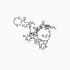 COc1cc2cc(c1Cl)N(C)C(=O)C[C@@H](OC(=O)[C@@H](C)N(C)C(=O)CCSSC(C)(C)CCC(=O)C1CCCCCCCCCC1)[C@@]1(C)O[C@@H]1[C@@H](C)[C@H]1C[C@](O)(NC(=O)O1)[C@@H](OC)/C=C/C=C(\C)C2